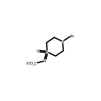 CCOC(=O)N=S1(=O)CCN(C(C)C)CC1